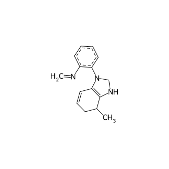 C=Nc1ccccc1N1CNC2=C1C=CCC2C